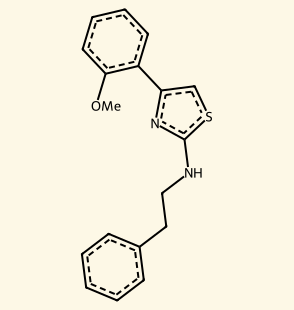 COc1ccccc1-c1csc(NCCc2ccccc2)n1